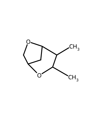 CC1OC2COC(C2)C1C